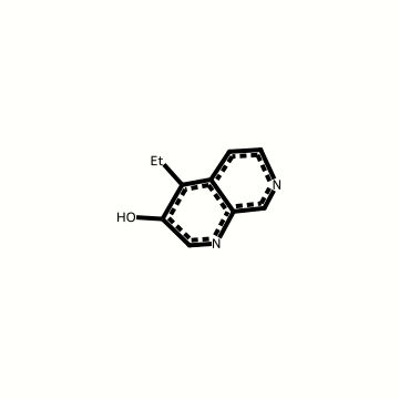 CCc1c(O)cnc2cnccc12